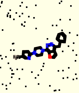 FC(F)(F)c1ccc(N2CCN(c3nnc(Cc4ccccc4)c4ccoc34)CC2)nc1